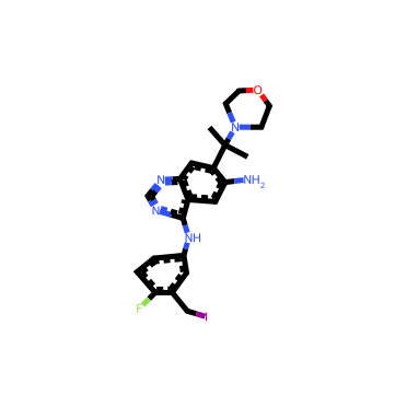 CC(C)(c1cc2ncnc(Nc3ccc(F)c(CI)c3)c2cc1N)N1CCOCC1